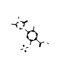 CCn1c(C(F)(F)F)nn(-c2cc(NS(=O)(=O)CC)c(C(=O)NS)cc2F)c1=O